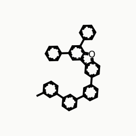 Cc1cccc(-c2cccc(-c3cccc(-c4ccc5oc6c(-c7ccccc7)cc(-c7ccccc7)cc6c5c4)c3)c2)c1